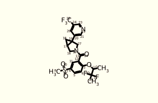 CC(Oc1ccc(S(C)(=O)=O)cc1C(=O)N1CC2CC2(c2cncc(C(F)(F)F)c2)C1)C(C)(F)F